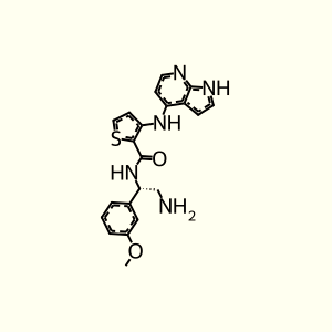 COc1cccc([C@@H](CN)NC(=O)c2sccc2Nc2ccnc3[nH]ccc23)c1